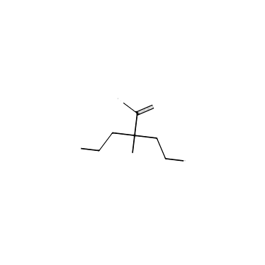 CCCC(F)(CCC)C(N)=O